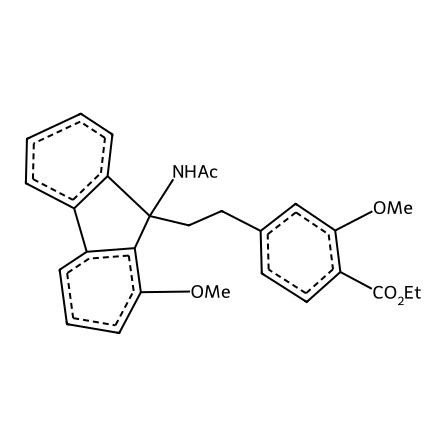 CCOC(=O)c1ccc(CCC2(NC(C)=O)c3ccccc3-c3cccc(OC)c32)cc1OC